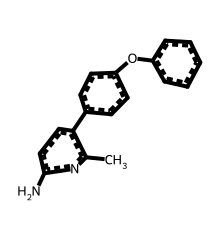 Cc1nc(N)ccc1-c1ccc(Oc2ccccc2)cc1